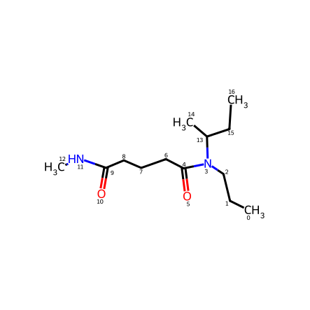 CCCN(C(=O)CCCC(=O)NC)C(C)CC